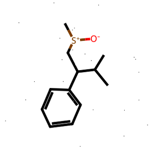 CC(C)C(C[S+](C)[O-])c1ccccc1